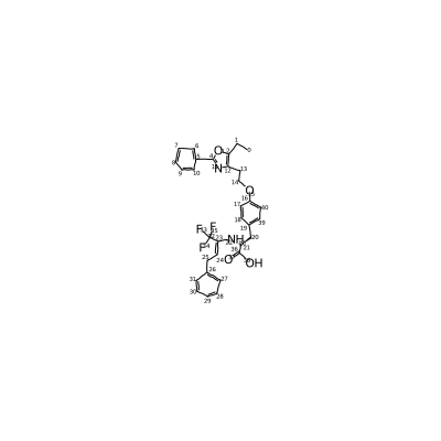 CCc1oc(-c2ccccc2)nc1CCOc1ccc(C[C@H](NC(=CCc2ccccc2)C(F)(F)F)C(=O)O)cc1